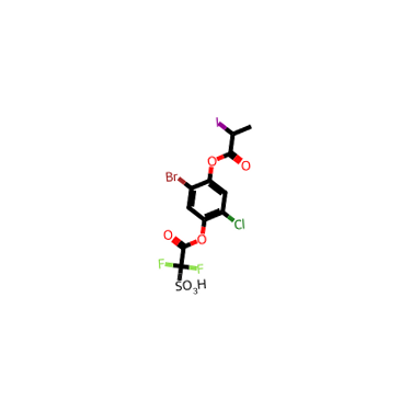 CC(I)C(=O)Oc1cc(Cl)c(OC(=O)C(F)(F)S(=O)(=O)O)cc1Br